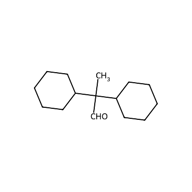 CC(C=O)(C1CCCCC1)C1CCCCC1